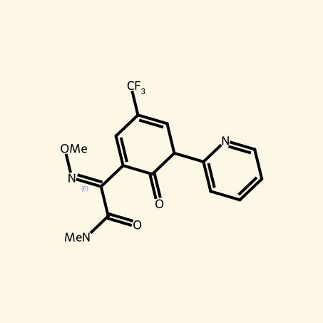 CNC(=O)/C(=N/OC)C1=CC(C(F)(F)F)=CC(c2ccccn2)C1=O